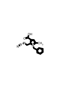 Cc1cc(C(=O)O)c(CN=[N+]=[N-])n1Cc1ccccc1